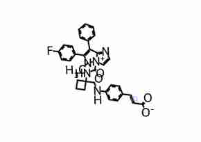 CN1C(c2ccc(F)cc2)=C(c2ccccc2)C2=NC=C[N+]21C(=O)NC1(C(=O)Nc2ccc(/C=C/C(=O)[O-])cc2)CCC1